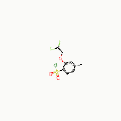 Cc1ccc(S(=O)(=O)Cl)c(OCC(F)F)c1